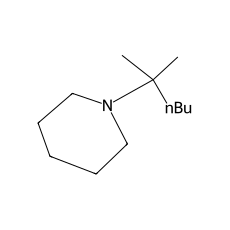 CCCCC(C)(C)N1CCCCC1